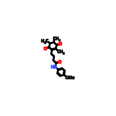 COc1ccc(NC(=O)CCCC2=C(C)C(=O)C(C)C(C)C2=O)cc1